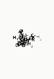 C=C(C)C(=O)OCCOC(=O)C(C)C(CC(CC(C)(C)C(=O)OCC1CO1)C1CCC2OC2C1)C(=O)O